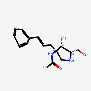 CCC(=O)N[C@@]1(CC=Cc2ccccc2)CN[C@@H](CO)[C@H]1O